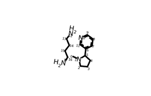 CN1CCCC1c1cccnc1.NCCCCN